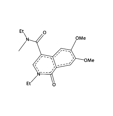 CCN(C)C(=O)c1cn(CC)c(=O)c2cc(OC)c(OC)cc12